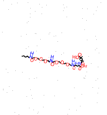 CCCCCNC(=O)COCCOCCOCCNC(=O)COCCOCCOCCNC(=O)CCC(NC(=O)C(C)(C)CC(C)(C)C(=O)O)C(=O)O